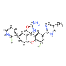 Cc1cnc(-c2cc(F)c3c(c2)C2(COC(N)=N2)c2cc(-c4cccnc4F)ccc2O3)nc1